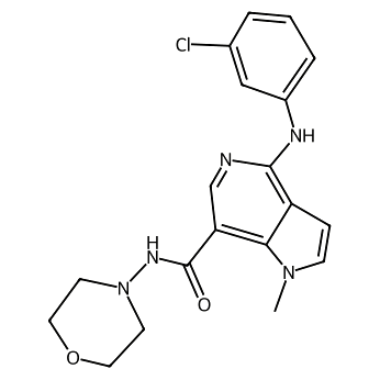 Cn1ccc2c(Nc3cccc(Cl)c3)ncc(C(=O)NN3CCOCC3)c21